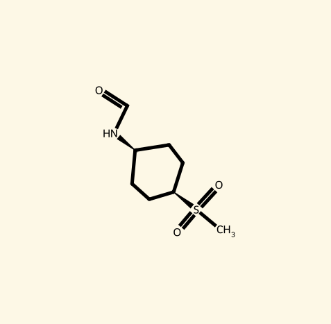 CS(=O)(=O)[C@H]1CC[C@@H](NC=O)CC1